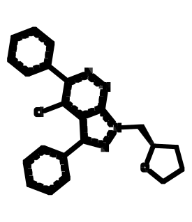 Clc1c(-c2ccccc2)nnc2c1c(-c1ccccc1)nn2C[C@H]1CCCO1